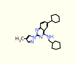 Cc1cnn(-c2nc(NCC3CCCCC3)c3cc(C4CCCCC4)ccc3n2)c1